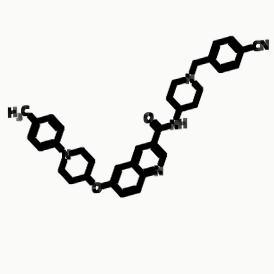 Cc1ccc(N2CCC(Oc3ccc4ncc(C(=O)NC5CCN(Cc6ccc(C#N)cc6)CC5)cc4c3)CC2)cc1